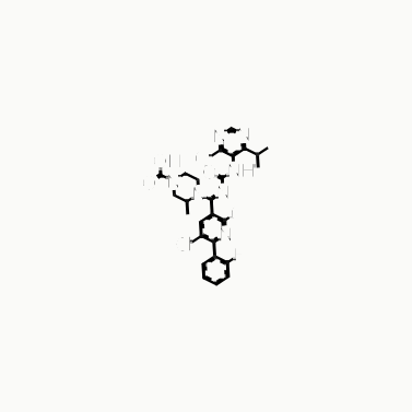 CC(C)c1ncnc(Cl)c1NC(=O)N=C(c1cc(Cl)c(-c2ccccc2F)nc1Cl)N1CCN(C(=O)O)CC1C